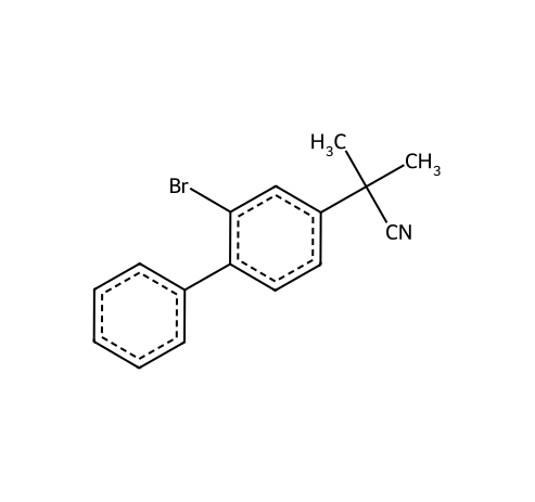 CC(C)(C#N)c1ccc(-c2ccccc2)c(Br)c1